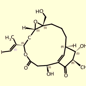 C/C(=C\I)[C@@H]1C[C@@H]2O[C@]2(CO)CCC[C@@H]2C=C(C(=O)[C@H](C)[C@H]2O)[C@@H](O)CC(=O)O1